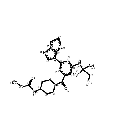 COC(=O)NC1CCN(C(=O)c2cc(NC(C)(C)CO)nc(-c3cnn4ccsc34)n2)CC1